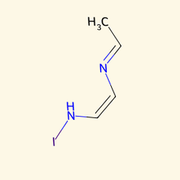 C/C=N/C=C\NI